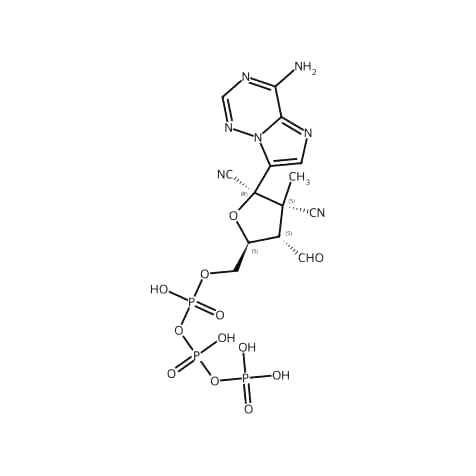 C[C@@]1(C#N)[C@H](C=O)[C@@H](COP(=O)(O)OP(=O)(O)OP(=O)(O)O)O[C@@]1(C#N)c1cnc2c(N)ncnn12